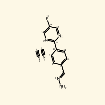 C#N.C#N.NN=Cc1ccc(-c2ncc(F)cn2)cc1